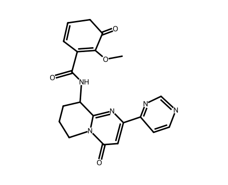 COC1=C(C(=O)NC2CCCn3c2nc(-c2ccncn2)cc3=O)C=CCC1=O